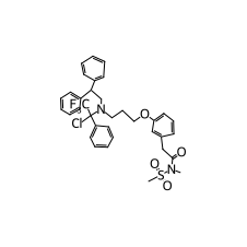 CN(C(=O)Cc1cccc(OCCCN(CC(c2ccccc2)c2ccccc2)C(Cl)(c2ccccc2)C(F)(F)F)c1)S(C)(=O)=O